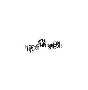 COc1cc(C(=O)NC2CC(NC(=O)COc3cccc(C(O)(C(=O)O)c4ccccc4)c3)C2)c(F)cc1CNCC(O)c1ccc(O)c2[nH]c(=O)ccc12